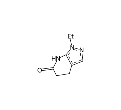 CCn1ncc2c1NC(=O)CC2